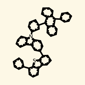 c1ccc(-c2c3ccccc3c(-c3cccc(-n4c5ccccc5c5cc(-c6cccc7c6sc6c(-c8ccccc8)cccc67)ccc54)c3)c3ccccc23)cc1